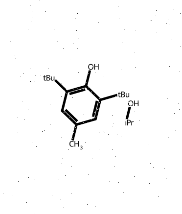 Cc1cc(C(C)(C)C)c(O)c(C(C)(C)C)c1.[CH2]C(C)O